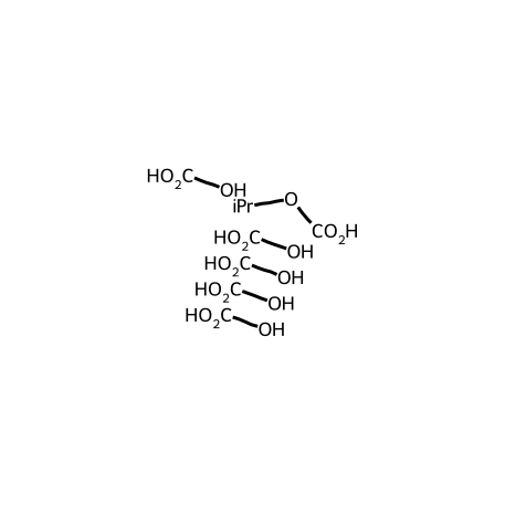 CC(C)OC(=O)O.O=C(O)O.O=C(O)O.O=C(O)O.O=C(O)O.O=C(O)O